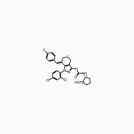 O=C(N[C@@H]1CCC[C@H]1O)Oc1nn(-c2ccc(Cl)cc2Cl)c2c1CSC/C2=C\c1ccc(F)cc1